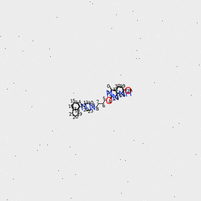 Cc1nc(OCCCCN2CCN(c3cccc4c3CCC4)CC2)nc2[nH]c(=O)ccc12